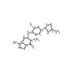 CC(C)n1ncc2c(=O)n(C)c(Oc3ccc(-c4ccn(C)n4)cc3F)nc21